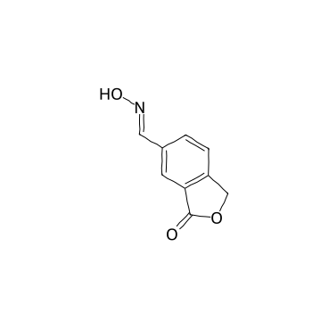 O=C1OCc2ccc(C=NO)cc21